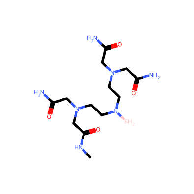 BN(CCN(CC(N)=O)CC(N)=O)CCN(CC(N)=O)CC(=O)NC